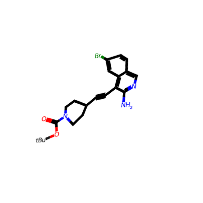 CC(C)(C)OC(=O)N1CCC(C#Cc2c(N)ncc3ccc(Br)cc23)CC1